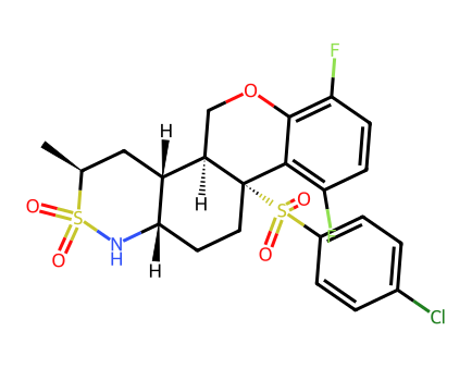 C[C@H]1C[C@H]2[C@H](CC[C@]3(S(=O)(=O)c4ccc(Cl)cc4)c4c(F)ccc(F)c4OC[C@H]23)NS1(=O)=O